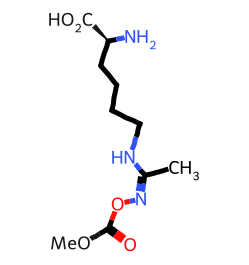 COC(=O)ON=C(C)NCCCC[C@H](N)C(=O)O